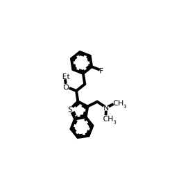 CCOC(Cc1ccccc1F)c1sc2ccccc2c1CN(C)C